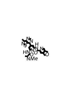 CNC(C)C(=O)Nc1cc(-c2ncnc3c(C)nn(C)c23)cc(NC(=O)c2cc3c(cn2)COC3)n1